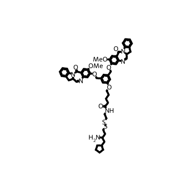 COc1cc2c(cc1OCc1cc(COc3cc4c(cc3OC)C(=O)N3c5ccccc5CC3C=N4)cc(OCCCCC(=O)NCCSSCCC(N)CC3CCCC3)c1)N=CC1Cc3ccccc3N1C2=O